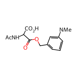 CNc1cccc(COC(=O)C(NC(C)=O)C(=O)O)c1